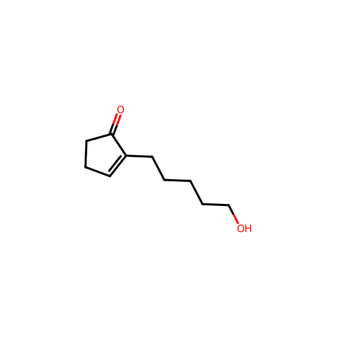 O=C1CCC=C1CCCCCO